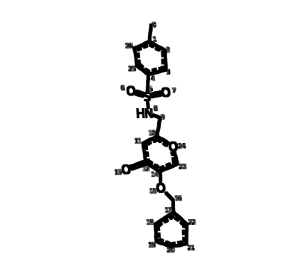 Cc1ccc(S(=O)(=O)NCc2cc(=O)c(OCc3ccccc3)co2)cc1